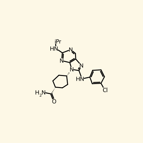 CC(C)Nc1ncc2nc(Nc3cccc(Cl)c3)n([C@H]3CC[C@@H](C(N)=O)CC3)c2n1